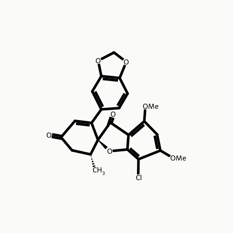 COc1cc(OC)c2c(c1Cl)O[C@]1(C2=O)C(c2ccc3c(c2)OCO3)=CC(=O)C[C@H]1C